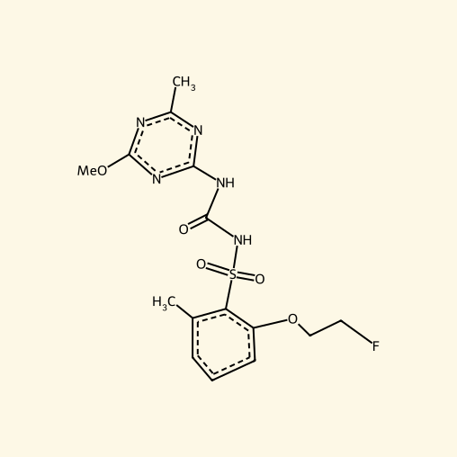 COc1nc(C)nc(NC(=O)NS(=O)(=O)c2c(C)cccc2OCCF)n1